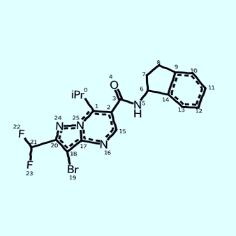 CC(C)c1c(C(=O)NC2CCc3ccccc32)cnc2c(Br)c(C(F)F)nn12